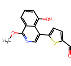 COc1ncc(-c2ccc(C=O)s2)c2c(O)cccc12